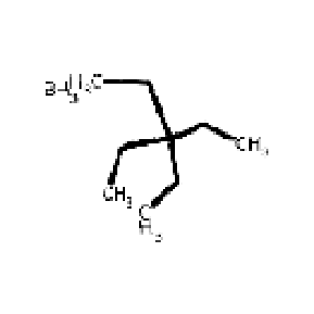 B.CCC(CC)(CC)CC